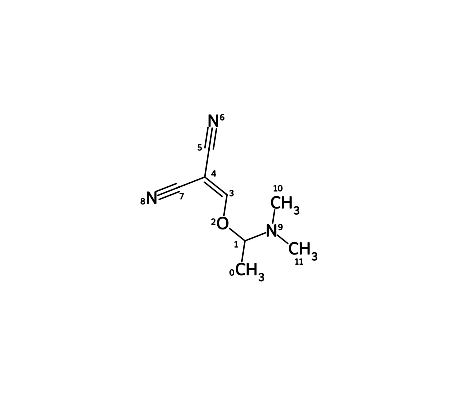 CC(OC=C(C#N)C#N)N(C)C